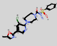 Cc1cnc(-c2cnc(N3CCN(C(=O)NS(=O)(=O)c4ccccc4)CC3)c(Cl)c2)o1